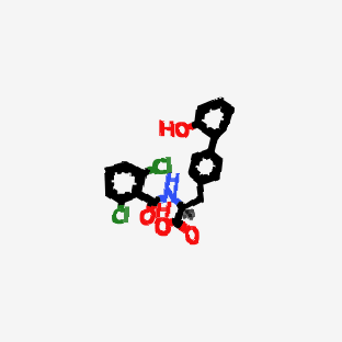 O=C(N[C@@H](Cc1ccc(-c2ccccc2O)cc1)C(=O)O)c1c(Cl)cccc1Cl